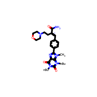 CCCCn1c(=O)c2nc(-c3ccc(/C=C(\CCN4CCOCC4)C(N)=O)cc3)n(C)c2n(CCCC)c1=O